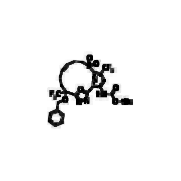 CC(C)(C)OC(=O)Nc1cc(C(F)(F)F)c2nc1-c1nnc(o1)C(OCc1ccccc1)(C(F)(F)F)CC/C=C\CCS2(=O)=O